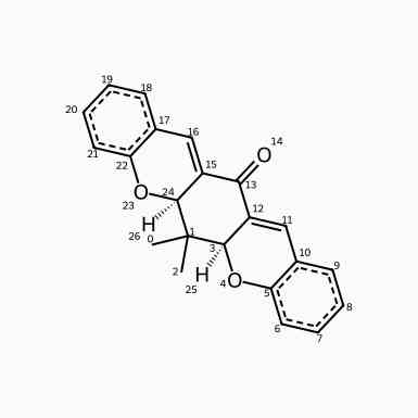 CC1(C)[C@@H]2Oc3ccccc3C=C2C(=O)C2=Cc3ccccc3O[C@@H]21